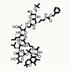 C=C(NCCC[C@@H](NC(=O)[C@H](CC(C)C)NC(=O)[C@@H](NC(=O)OC(C)(C)C)[C@H](O)C(C)C)C(=O)N[C@H](C(=O)N[C@H](C(=O)NCC(=O)N[C@@H](CCCNC(=O)OCc1ccccc1)C(=O)N[C@@H](COC(C)(C)C)C(=O)OC)[C@H](C)O)[C@@H](C)CC)NS(=O)(=O)c1c(C)c(C)c2c(c1C)CCC(C)(C)O2